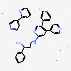 NC(CCNc1cc(-c2ccncc2)c(-c2cccc(F)c2)cn1)c1ccccc1.c1ccc(-c2ccncc2)nc1